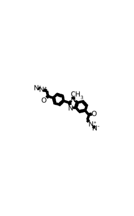 Cn1c(-c2ccc(C(=O)C=[N+]=[N-])cc2)nc2cc(C(=O)C=[N+]=[N-])ccc21